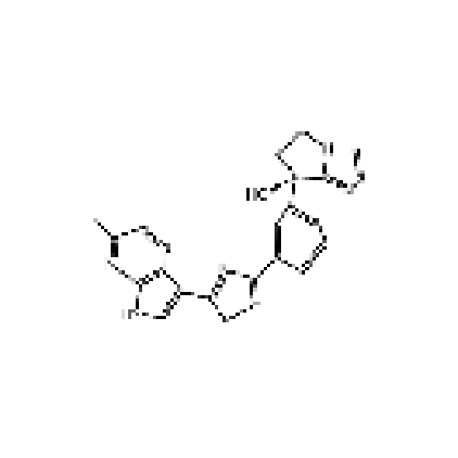 Cc1cnc2c(-c3nc(-c4cccc([C@]5(O)CCn6ccnc65)c4)cs3)c[nH]c2n1